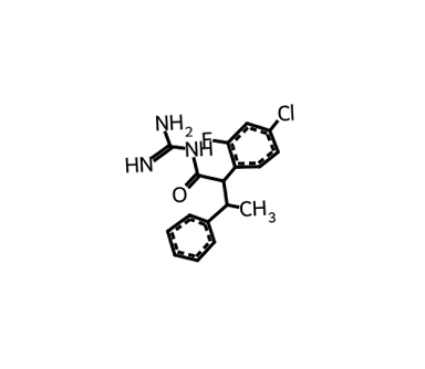 CC(c1ccccc1)C(C(=O)NC(=N)N)c1ccc(Cl)cc1F